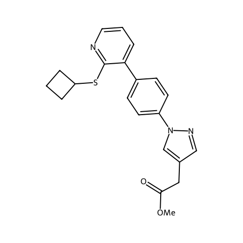 COC(=O)Cc1cnn(-c2ccc(-c3cccnc3SC3CCC3)cc2)c1